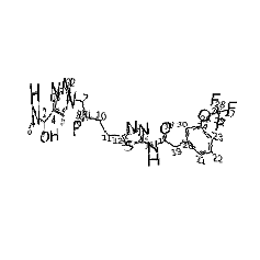 CNC(O)c1cn(C[C@H](F)CCc2nnc(NC(=O)Cc3cccc(OC(F)(F)F)c3)s2)nn1